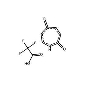 O=C(O)C(F)(F)F.O=c1cc[nH]c(=O)cc1